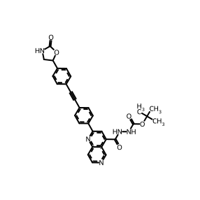 CC(C)(C)OC(=O)NNC(=O)c1cc(-c2ccc(C#Cc3ccc(C4CNC(=O)O4)cc3)cc2)nc2ccncc12